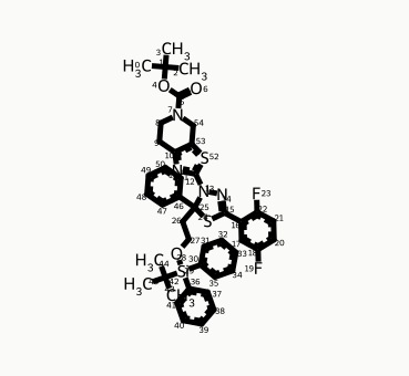 CC(C)(C)OC(=O)N1CCc2nc(N3N=C(c4cc(F)ccc4F)SC3(CCO[Si](c3ccccc3)(c3ccccc3)C(C)(C)C)c3ccccc3)sc2C1